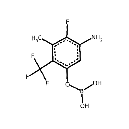 Cc1c(F)c(N)cc(OB(O)O)c1C(F)(F)F